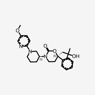 COc1ccc(N2CCC[C@H](N3CC[C@](CC(C)(C)O)(c4ccccc4)OC3=O)C2)nc1